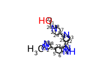 Cn1cc(-c2ccc3[nH]nc(-c4ccnc(C5CCN(CCO)CC5)c4)c3c2)cn1